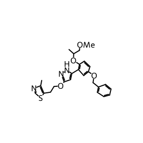 COCC(C)Oc1ccc(OCc2ccccc2)cc1-c1cc(OCCc2scnc2C)n[nH]1